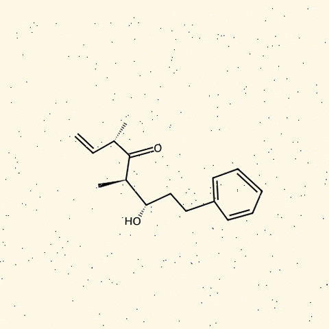 C=C[C@H](C)C(=O)[C@H](C)[C@@H](O)CCc1ccccc1